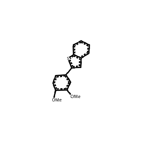 COc1ccc(-c2cc3ccccc3s2)cc1OC